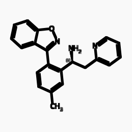 Cc1ccc(-c2noc3ccccc23)c([C@@H](N)Cc2ccccn2)c1